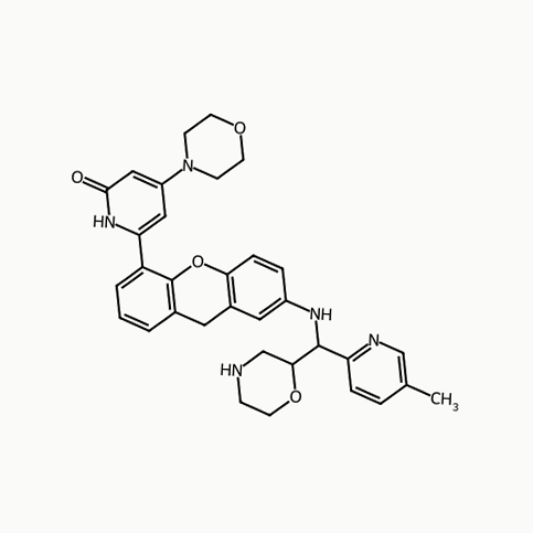 Cc1ccc(C(Nc2ccc3c(c2)Cc2cccc(-c4cc(N5CCOCC5)cc(=O)[nH]4)c2O3)C2CNCCO2)nc1